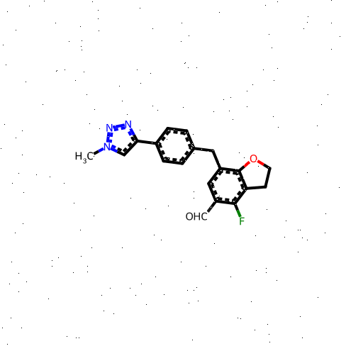 Cn1cc(-c2ccc(Cc3cc(C=O)c(F)c4c3OCC4)cc2)nn1